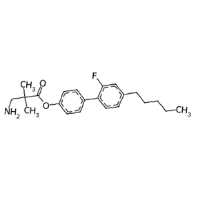 CCCCCc1ccc(-c2ccc(OC(=O)C(C)(C)CN)cc2)c(F)c1